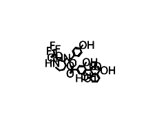 O=C(NC1C(OC(=O)c2cc(O)c(C(=O)c3c(O)cccc3C(=O)O)c(O)c2)CCCNC1OC(=O)C(F)(F)F)c1ccc(O)cc1